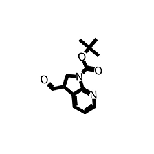 CC(C)(C)OC(=O)N1CC(C=O)c2cccnc21